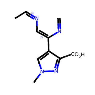 C=N/C(=C\N=C/C)c1cn(C)nc1C(=O)O